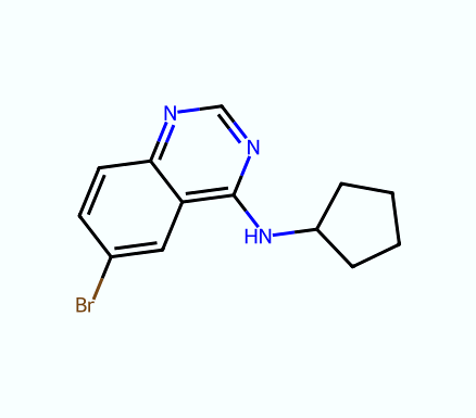 Brc1ccc2ncnc(NC3CCCC3)c2c1